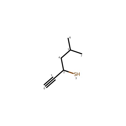 C#CC(S)CC(C)C